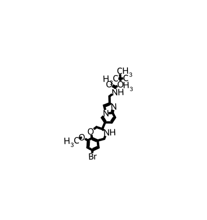 COc1cc(Br)cc2c1OCC(c1ccc3nc(CNC(=O)OC(C)(C)C)cn3c1)NC2